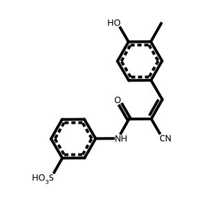 Cc1cc(C=C(C#N)C(=O)Nc2cccc(S(=O)(=O)O)c2)ccc1O